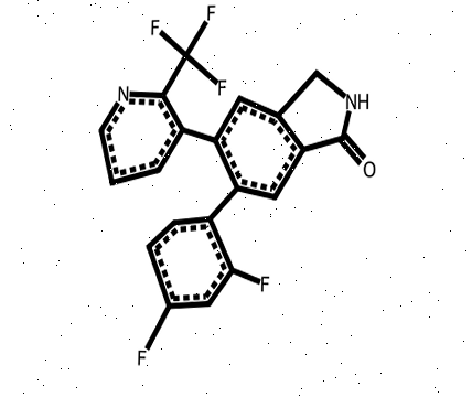 O=C1NCc2cc(-c3cccnc3C(F)(F)F)c(-c3ccc(F)cc3F)cc21